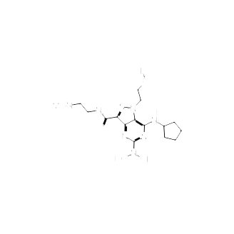 CCOCCn1nc(C(=O)NCCNC)c2nc(N(C)C)nc(NC3CCCC3)c21